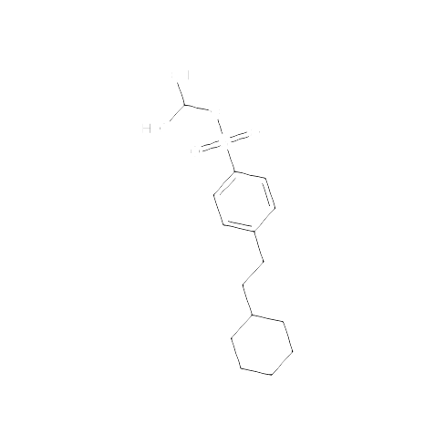 CC(C)OS(=O)(=O)c1ccc(CCC2CCCCC2)cc1